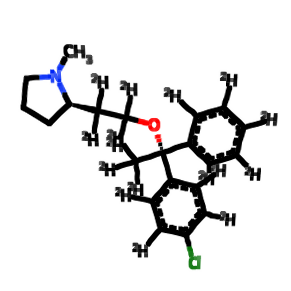 [2H]c1c([2H])c([2H])c([C@@](OC([2H])([2H])C([2H])([2H])[C@H]2CCCN2C)(c2c([2H])c([2H])c(Cl)c([2H])c2[2H])C([2H])([2H])[2H])c([2H])c1[2H]